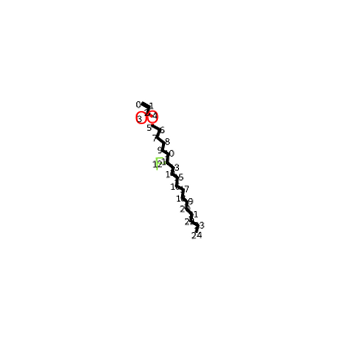 C=CC(=O)OCCCCCCC(F)CCCCCCCCCCCC